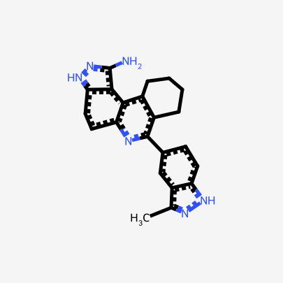 Cc1n[nH]c2ccc(-c3nc4ccc5[nH]nc(N)c5c4c4c3CCCC4)cc12